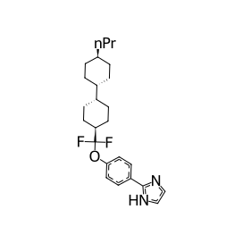 CCC[C@H]1CC[C@H]([C@H]2CC[C@H](C(F)(F)Oc3ccc(-c4ncc[nH]4)cc3)CC2)CC1